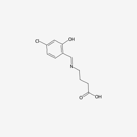 O=C(O)CCCN=Cc1ccc(Cl)cc1O